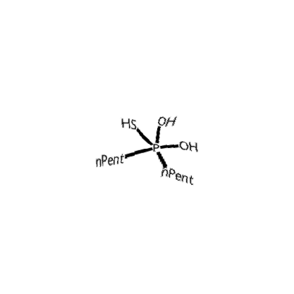 CCCCCP(O)(O)(S)CCCCC